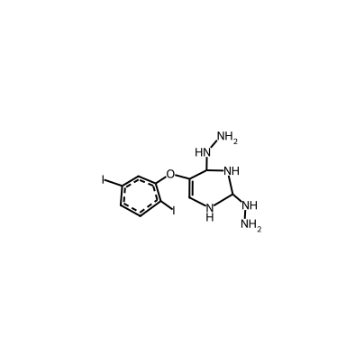 NNC1NC=C(Oc2cc(I)ccc2I)C(NN)N1